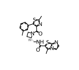 Cc1cccc(-c2sc(C)nc2C(=O)N2CC[C@H]2CNC(=O)c2sc3nccn3c2C)c1